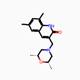 Cc1cc(C)c2[nH]c(=O)c(CN3C[C@@H](C)O[C@@H](C)C3)cc2c1